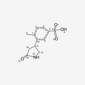 Cc1ccc(S(=O)(=O)O)cc1C1CNC(=O)C1